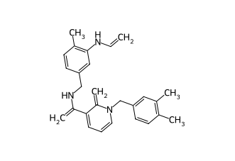 C=CNc1cc(CNC(=C)C2=CC=CN(Cc3ccc(C)c(C)c3)C2=C)ccc1C